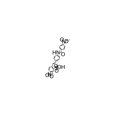 O=C(Nc1ccc(/C=C/c2ccc([N+](=O)[O-])cc2S(=O)(=O)O)cc1)c1ccc([N+](=O)[O-])cc1